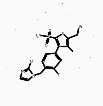 Cc1c(CC(C)C)sc(S(N)(=O)=O)c1-c1ccc(Cn2ccnc2Cl)c(F)c1